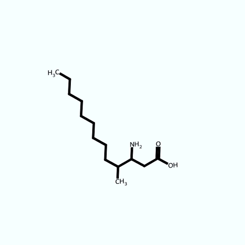 CCCCCCCCCC(C)C(N)CC(=O)O